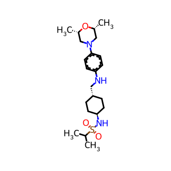 CC(C)S(=O)(=O)N[C@H]1CC[C@H](CNc2ccc(N3C[C@@H](C)O[C@@H](C)C3)cc2)CC1